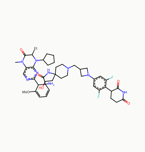 CCC1C(=O)N(C)c2cnc(C3C(OC)=CC=CC3(N)C(=O)NC3(CCO)CCN(CC4CN(c5cc(F)c(C6CCC(=O)NC6=O)c(F)c5)C4)CC3)nc2N1C1CCCC1